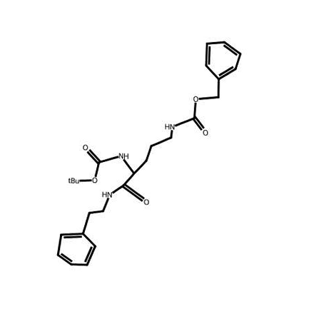 CC(C)(C)OC(=O)NC(CCCNC(=O)OCc1ccccc1)C(=O)NCCc1ccccc1